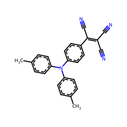 Cc1ccc(N(c2ccc(C)cc2)c2ccc(C(C#N)=C(C#N)C#N)cc2)cc1